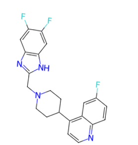 Fc1ccc2nccc(C3CCN(Cc4nc5cc(F)c(F)cc5[nH]4)CC3)c2c1